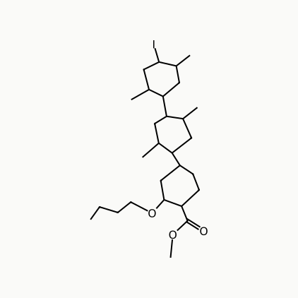 CCCCOC1CC(C2CC(C)C(C3CC(C)C(I)CC3C)CC2C)CCC1C(=O)OC